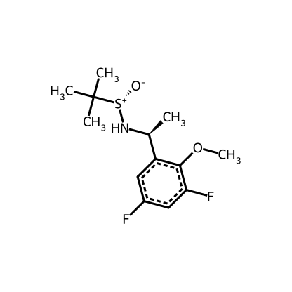 COc1c(F)cc(F)cc1[C@H](C)N[S@@+]([O-])C(C)(C)C